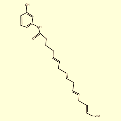 CCCCCC=CCC=CCC=CCC=CCCCC(=O)Nc1cccc(O)c1